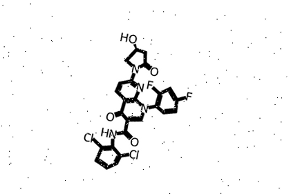 O=C(Nc1c(Cl)cccc1Cl)c1cn(-c2ccc(F)cc2F)c2nc(N3C[C@@H](O)CC3=O)ccc2c1=O